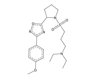 CCN(CC)CCCS(=O)(=O)N1CCCC1c1nc(-c2ccc(OC)cc2)no1